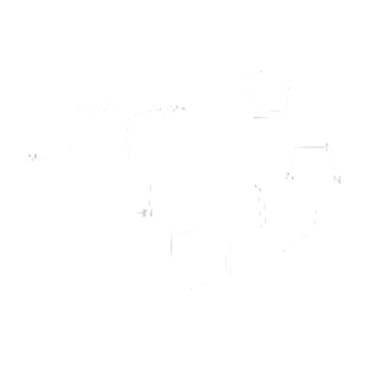 COc1ccc(OC)c(CNc2cccc(-c3ccc4nnc(-c5cccs5)n4n3)c2)c1